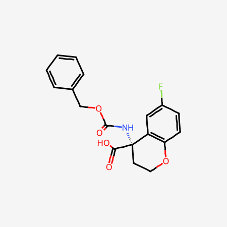 O=C(N[C@@]1(C(=O)O)CCOc2ccc(F)cc21)OCc1ccccc1